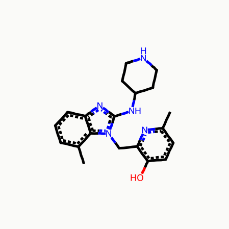 Cc1ccc(O)c(Cn2c(NC3CCNCC3)nc3cccc(C)c32)n1